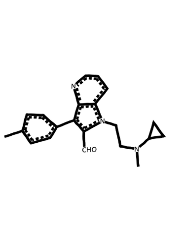 Cc1ccc(-c2c(C=O)n(CCN(C)C3CC3)c3cccnc23)cc1